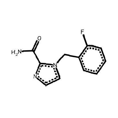 NC(=O)c1n[c]cn1Cc1ccccc1F